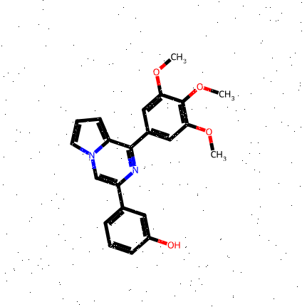 COc1cc(-c2nc(-c3cccc(O)c3)cn3cccc23)cc(OC)c1OC